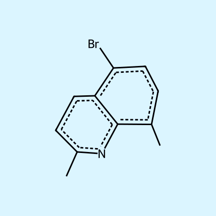 Cc1ccc2c(Br)ccc(C)c2n1